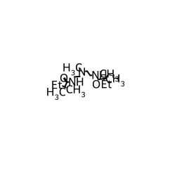 CCC(C)(C)C(=O)NCCN(C)CCNC(=O)C(C)(C)CC